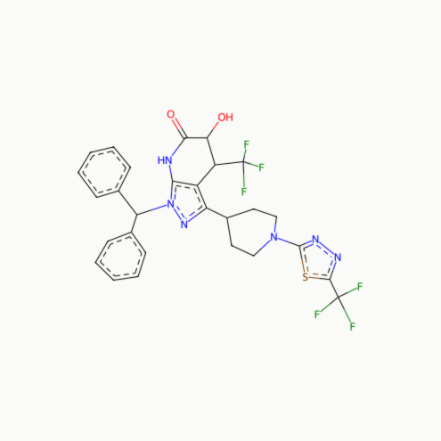 O=C1Nc2c(c(C3CCN(c4nnc(C(F)(F)F)s4)CC3)nn2C(c2ccccc2)c2ccccc2)C(C(F)(F)F)C1O